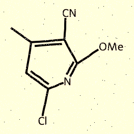 COc1nc(Cl)cc(C)c1C#N